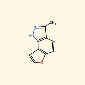 Cc1n[nH]c2c1ccc1occc12